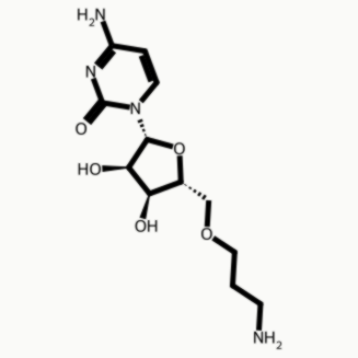 NCCCOC[C@H]1O[C@@H](n2ccc(N)nc2=O)[C@H](O)[C@@H]1O